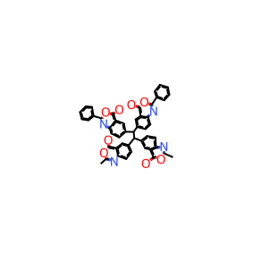 Cc1nc2ccc(C(c3ccc4nc(C)oc(=O)c4c3)C(c3ccc4nc(-c5ccccc5)oc(=O)c4c3)c3ccc4nc(-c5ccccc5)oc(=O)c4c3)cc2c(=O)o1